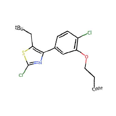 COCCOc1cc(-c2nc(Cl)sc2CC(C)(C)C)ccc1Cl